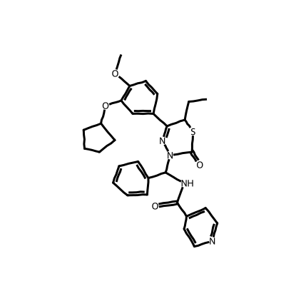 CCC1SC(=O)N(C(NC(=O)c2ccncc2)c2ccccc2)N=C1c1ccc(OC)c(OC2CCCC2)c1